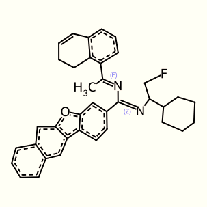 C/C(=N\C(=N/C(CF)C1CCCCC1)c1ccc2c(c1)oc1cc3ccccc3cc12)c1cccc2c1CCC=C2